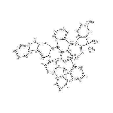 C/C=C1\C(=C2\c3ccccc3N(C3CC=C4c5ccccc5OC4C3)c3cc4c(cc32)-c2ccccc2C42c3ccccc3-c3ccccc32)c2ccc(C(C)(C)C)cc2C1(C)C